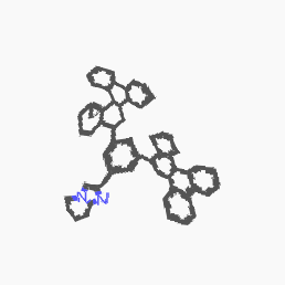 c1ccc2c(c1)-c1ccccc1C1C2CC(c2cc(-c3cn4ccccc4n3)cc(-c3cc4c5ccccc5c5ccccc5c4c4ccccc34)c2)C2CCCC3C[C@@]321